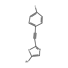 CC(C)c1cnc(C#Cc2ccc(I)cc2)s1